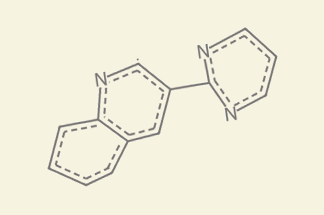 [c]1nc2ccccc2cc1-c1ncccn1